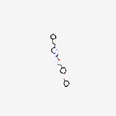 O=C(NC(Cc1ccc(OCc2ccccc2)cc1)C(=O)O)c1cn2nc(/C=C/c3ccc(Cl)cc3)ccc2n1